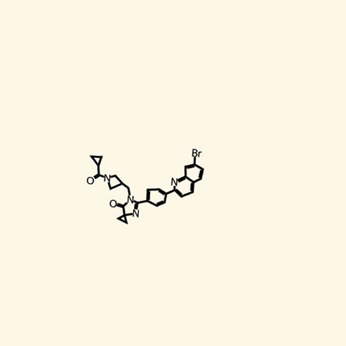 O=C(C1CC1)N1CC(CN2C(=O)C3(CC3)N=C2c2ccc(-c3ccc4ccc(Br)cc4n3)cc2)C1